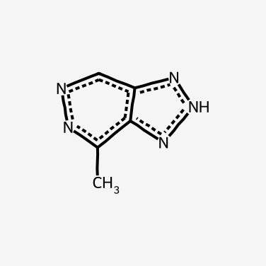 Cc1nncc2n[nH]nc12